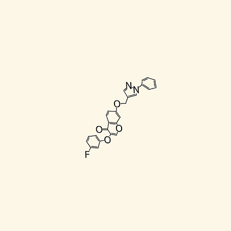 O=c1c(Oc2cccc(F)c2)coc2cc(OCc3cnn(-c4ccccc4)c3)ccc12